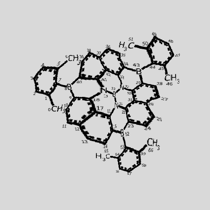 Cc1cccc(C)c1B1c2ccc3ccc4c5c3c2N2B3N5c5c(ccc6ccc7c(c56)N3c3c(ccc5ccc1c2c35)B7c1c(C)cccc1C)B4c1c(C)cccc1C